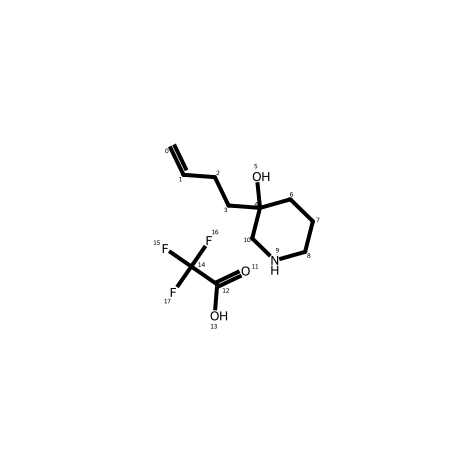 C=CCCC1(O)CCCNC1.O=C(O)C(F)(F)F